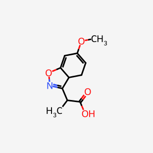 COC1=CCC2C(=C1)ON=C2C(C)C(=O)O